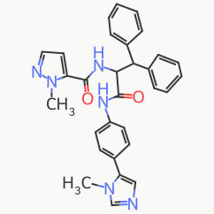 Cn1cncc1-c1ccc(NC(=O)C(NC(=O)c2ccnn2C)C(c2ccccc2)c2ccccc2)cc1